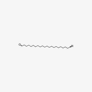 N#CCCCCCCCCCCCCCCCCCCCCC=O